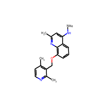 CNNc1cc(C)nc2c(OCc3c(C)ccnc3C)cccc12